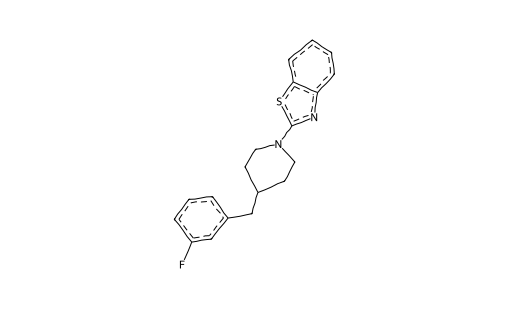 Fc1cccc(CC2CCN(c3nc4ccccc4s3)CC2)c1